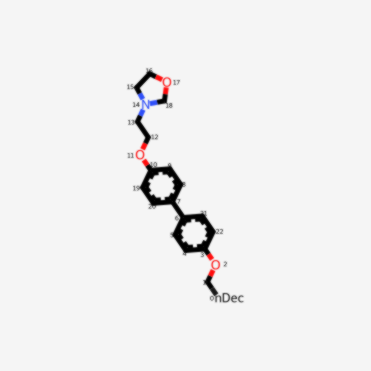 CCCCCCCCCCCOc1ccc(-c2ccc(OCCN3CCOC3)cc2)cc1